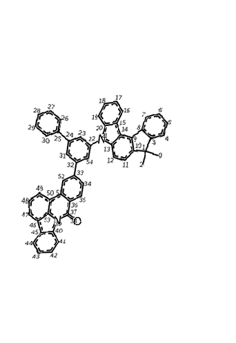 CC1(C)c2ccccc2-c2c1ccc1c2c2ccccc2n1-c1cc(-c2ccccc2)cc(-c2ccc3c(=O)n4c5ccccc5c5cccc(c3c2)c54)c1